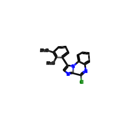 COc1cccc(-c2cnc3c(Cl)nc4ccccc4n23)c1OC